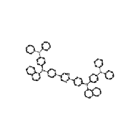 c1ccc(N(c2ccccc2)c2ccc(N(c3ccc(-c4cnc(-c5ccc(N(c6ccc(N(c7ccccc7)c7ccccc7)cc6)c6cccc7ccccc67)cc5)nc4)cc3)c3cccc4ccccc34)cc2)cc1